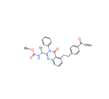 CCC(NC(=O)OC(C)(C)C)c1nc2cccc(CCc3ccc(C(=O)OC)cc3)c2c(=O)n1-c1ccccc1